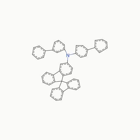 c1ccc(-c2ccc(N(c3cccc(-c4ccccc4)c3)c3ccc4c(c3)-c3ccccc3C43c4ccccc4-c4ccccc43)cc2)cc1